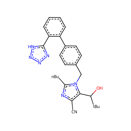 CCCCc1nc(C#N)c(C(O)C(C)(C)C)n1Cc1ccc(-c2ccccc2-c2nnn[nH]2)cc1